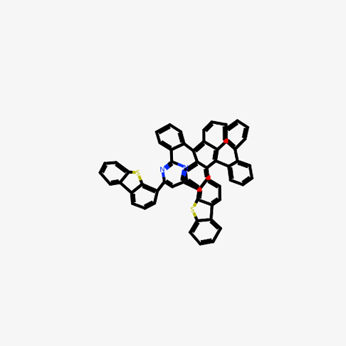 c1ccc(-c2ccccc2-c2c3ccccc3c(-c3ccccc3-c3nc(-c4cccc5c4sc4ccccc45)cc(-c4cccc5c4sc4ccccc45)n3)c3ccccc23)cc1